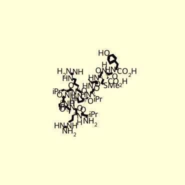 CSCC[C@H](NC(=O)[C@H](C)NC(=O)[C@H](CC(C)C)NC(=O)[C@@H]1CCCN1C(=O)[C@H](CCCNC(=N)N)NC(=O)[C@H](CC(C)C)NC(=O)[C@H](CC(C)C)NC(=O)[C@H](C)NC(=O)[C@H](CCCNC(=N)N)NC(=O)[C@@H](N)C(C)C)C(=O)N[C@@H](CC(=O)O)C(=O)N[C@@H](Cc1ccc(O)cc1)C(=O)O